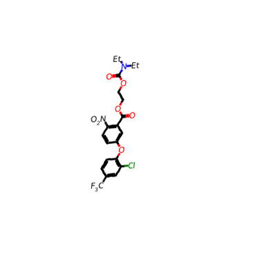 CCN(CC)C(=O)OCCOC(=O)c1cc(Oc2ccc(C(F)(F)F)cc2Cl)ccc1[N+](=O)[O-]